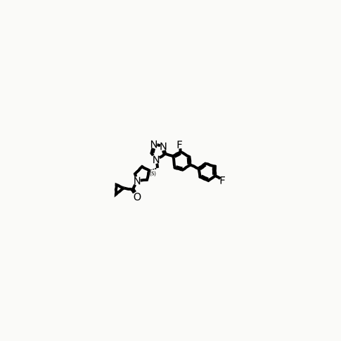 O=C(C1CC1)N1CC[C@H](Cn2cnnc2-c2ccc(-c3ccc(F)cc3)cc2F)C1